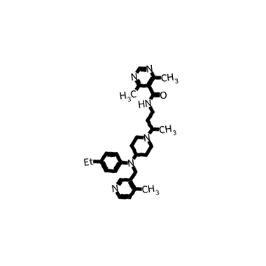 CCc1ccc(N(Cc2cnccc2C)C2CCN(C(C)CCNC(=O)c3c(C)ncnc3C)CC2)cc1